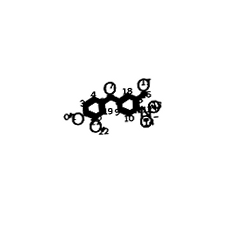 COc1ccc(C(=O)c2ccc([N+](=O)[O-])c(C=O)c2)cc1OC